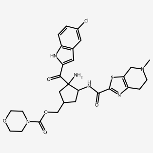 CN1CCc2nc(C(=O)NC3CC(COC(=O)N4CCOCC4)CC3(N)C(=O)c3cc4cc(Cl)ccc4[nH]3)sc2C1